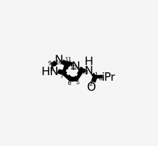 CC(C)C(=O)Nc1ccc2[nH]cnc2n1